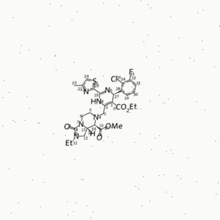 CCOC(=O)C1=C(CN2CCN3C(=O)N(CC)C[C@H]3[C@@H]2C(=O)OC)NC(c2nc(C)cs2)=N[C@H]1c1cccc(F)c1Cl